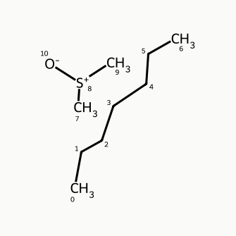 CCCCCCC.C[S+](C)[O-]